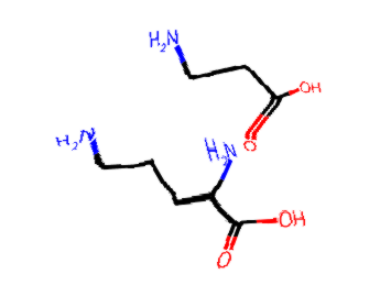 NCCC(=O)O.NCCCC(N)C(=O)O